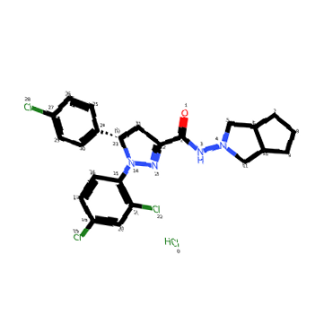 Cl.O=C(NN1CC2CCCC2C1)C1=NN(c2ccc(Cl)cc2Cl)[C@H](c2ccc(Cl)cc2)C1